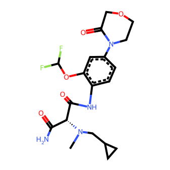 CN(CC1CC1)[C@H](C(N)=O)C(=O)Nc1ccc(N2CCOCC2=O)cc1OC(F)F